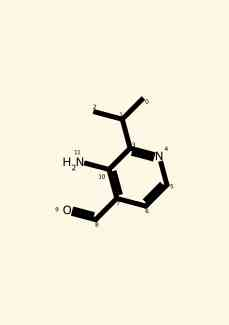 CC(C)c1nccc(C=O)c1N